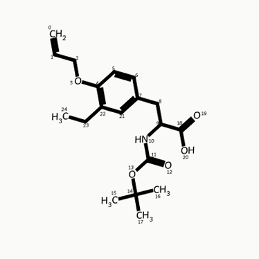 C=CCOc1ccc(CC(NC(=O)OC(C)(C)C)C(=O)O)cc1CC